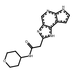 O=C(Cc1nc2cnc3[nH]ccc3c2[nH]1)NC1CCOCC1